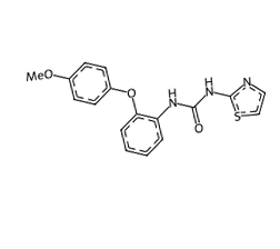 COc1ccc(Oc2ccccc2NC(=O)Nc2nccs2)cc1